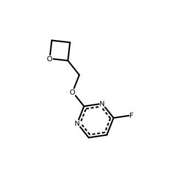 Fc1ccnc(OCC2CCO2)n1